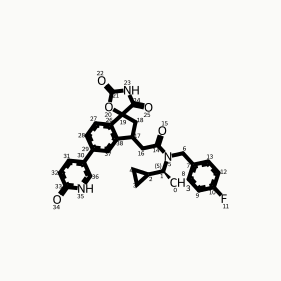 C[C@@H](C1CC1)N(Cc1ccc(F)cc1)C(=O)CC1CC2(OC(=O)NC2=O)c2ccc(-c3ccc(=O)[nH]c3)cc21